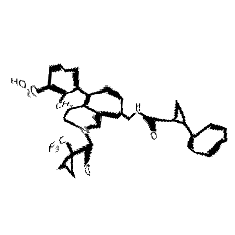 Cc1c(C(=O)O)cccc1-c1ccc(CNC(=O)C2CC2c2ccccc2)c2c1CCN(C(=O)C1(C(F)(F)F)CC1)C2